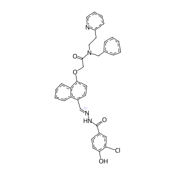 O=C(N/N=C/c1ccc(OCC(=O)N(CCc2ccccn2)Cc2ccccc2)c2ccccc12)c1ccc(O)c(Cl)c1